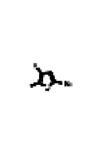 Cc1oc(C(C)(C)C)cc1F